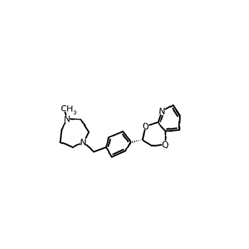 CN1CCCN(Cc2ccc([C@H]3COc4cccnc4O3)cc2)CC1